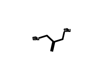 C=C(CC(C)(C)C)CC(C)(C)C